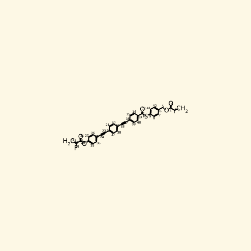 C=CC(=O)OCc1ccc(SC(=O)c2ccc(C#Cc3ccc(C#Cc4ccc(OC(=O)C(=C)F)cc4)cc3)cc2)cc1